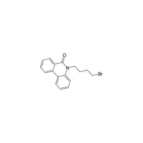 O=c1c2ccccc2c2ccccc2n1CCCCBr